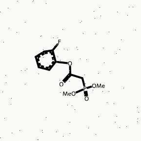 COP(=O)(CC(=O)Oc1ccccc1F)OC